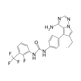 [CH2]Cc1cn2ncnc(N)c2c1-c1ccc(NC(=O)Nc2cccc(C(F)(F)F)c2F)cc1